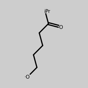 CC(C)C(=O)CCCC[O]